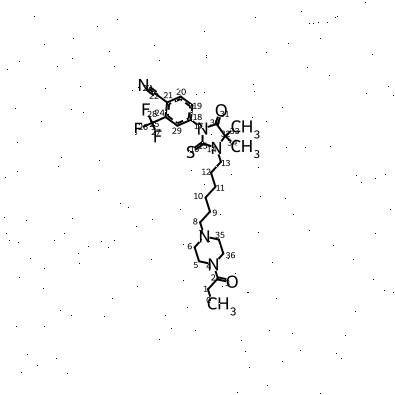 CCC(=O)N1CCN(CCCCCCN2C(=S)N(c3ccc(C#N)c(C(F)(F)F)c3)C(=O)C2(C)C)CC1